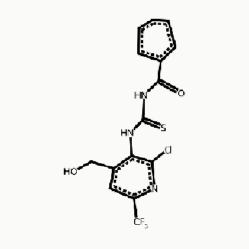 O=C(NC(=S)Nc1c(CO)cc(C(F)(F)F)nc1Cl)c1ccccc1